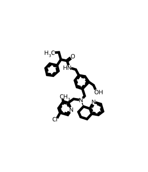 CCC(C(=O)NCc1ccc(CN(Cc2ncc(Cl)cc2C)[C@H]2CCCc3cccnc32)c(CO)c1)c1ccccc1